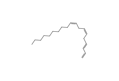 C=C/C=C/C/C=C\C/C=C\CCCCCCCCC